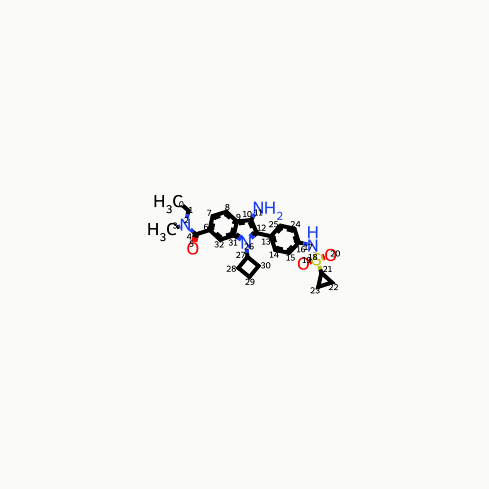 CCN(C)C(=O)c1ccc2c(N)c(-c3ccc(NS(=O)(=O)C4CC4)cc3)n(C3CCC3)c2c1